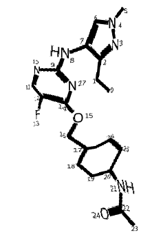 CCc1nn(C)cc1Nc1ncc(F)c(OCC2CCC(NC(C)=O)CC2)n1